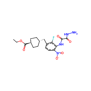 CCOC(=O)[C@H]1CC[C@H](Cc2ccc([N+](=O)[O-])c(NC(=O)C(=O)NN)c2F)CC1